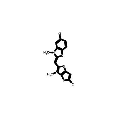 CN1/C(=C/c2sc3cc(Cl)sc3[n+]2C)Sc2ccc(Cl)cc21